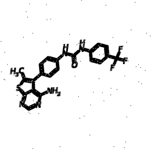 Cc1sc2ncnc(N)c2c1-c1ccc(NC(=O)Nc2ccc(C(F)(F)F)cc2)cc1